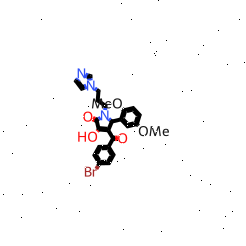 COc1ccc(OC)c(C2C(C(=O)c3ccc(Br)cc3)=C(O)C(=O)N2CCCn2ccnc2)c1